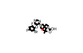 CC(C)(C)C1N(C(=O)O)CCC12CCN(c1ncncc1Oc1c(F)cc(F)cc1Br)C2